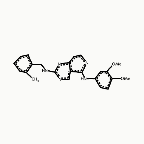 COc1ccc(Nc2nccc3nc(NCc4ccccc4C)ncc23)cc1OC